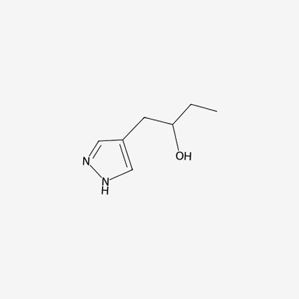 CCC(O)Cc1cn[nH]c1